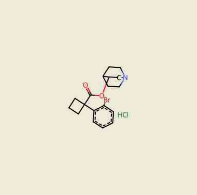 Cl.O=C(OC1CN2CCC1CC2)C1(c2ccccc2Br)CCC1